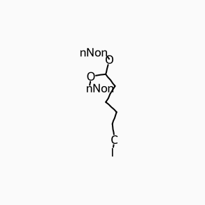 CCCCCCCCCOC(CCCCCI)OCCCCCCCCC